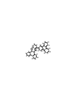 c1ccc(-c2nc3cccc(-c4ccc5c6ccccc6c6ccccc6c5c4)c3nc2-c2ccccc2)cc1